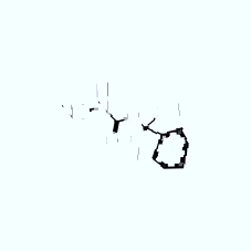 CC(C)(OC(=O)NC#N)c1ccccc1